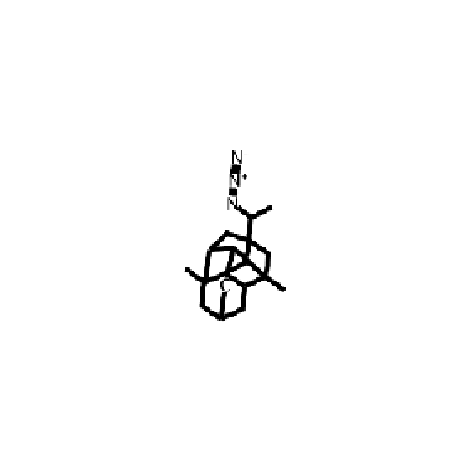 CC(N=[N+]=[N-])C12CC3C4CC5CC(C(C1)C3(C)C5)C4(C)C2